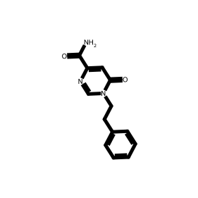 NC(=O)c1cc(=O)n(CCc2ccccc2)cn1